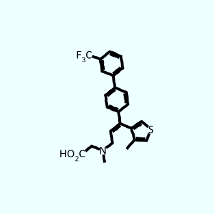 Cc1cscc1C(=CCN(C)CC(=O)O)c1ccc(-c2cccc(C(F)(F)F)c2)cc1